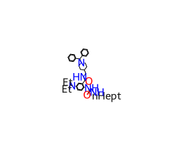 CCCCCCCNC(=O)Nc1ccc(N(CC)CC)cc1C(=O)NCC1CCN(C(c2ccccc2)c2ccccc2)CC1